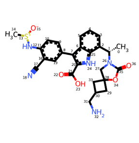 C[C@@H](c1cccc2c(-c3ccc(N[S+](C)[O-])c(C#N)c3)c(C(=O)O)[nH]c12)N1CC2(CC(CN)C2)OC1=O